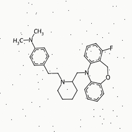 CN(C)c1ccc(CCN2CCCCC2CN2c3ccccc3OCc3c(F)cccc32)cc1